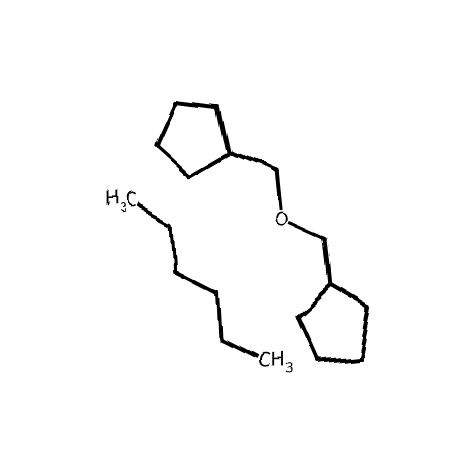 C1CCC(COCC2CCCC2)C1.CCCCCC